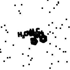 CNCCC(c1cccs1)N1c2ccccc2C[C@@H]1C